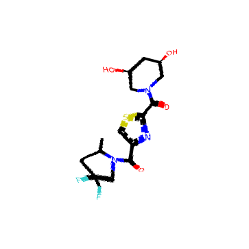 CC1CC(F)(F)CN1C(=O)c1csc(C(=O)N2C[C@H](O)C[C@H](O)C2)n1